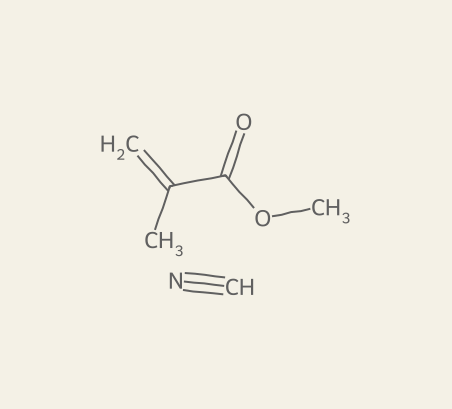 C#N.C=C(C)C(=O)OC